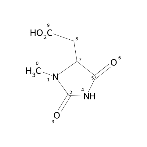 CN1C(=O)NC(=O)C1CC(=O)O